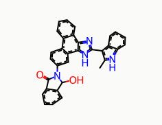 Cc1[nH]c2ccccc2c1-c1nc2c3ccccc3c3ccc(N4C(=O)c5ccccc5C4O)cc3c2[nH]1